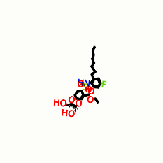 CCCCCCCCc1cc(F)ccc1NS(=O)(=O)C1CCC2(C=C1C(=O)OCC)O[C@H](CO)[C@@H](CO)O2